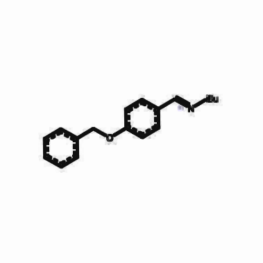 CCC(C)/N=C/c1ccc(OCc2ccccc2)cc1